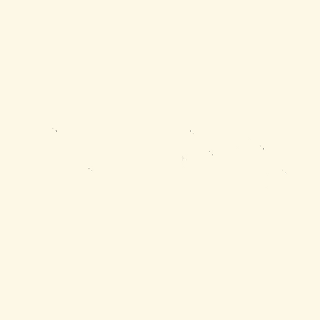 Cc1c(-c2ccnc(Nc3cccc(CCC(=O)N(C)CCCN(C)C)c3)n2)c(C)n2c1C(=O)NCC2